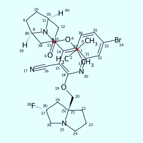 CC(C)(C)OC(=O)N1[C@@H]2CC[C@H]1CN(c1c(C#N)c(OC[C@@]34CCCN3C[C@H](F)C4)nc3cc(Br)ccc13)C2